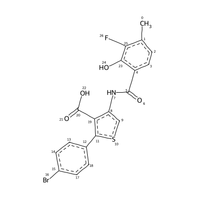 Cc1ccc(C(=O)Nc2csc(-c3ccc(Br)cc3)c2C(=O)O)c(O)c1F